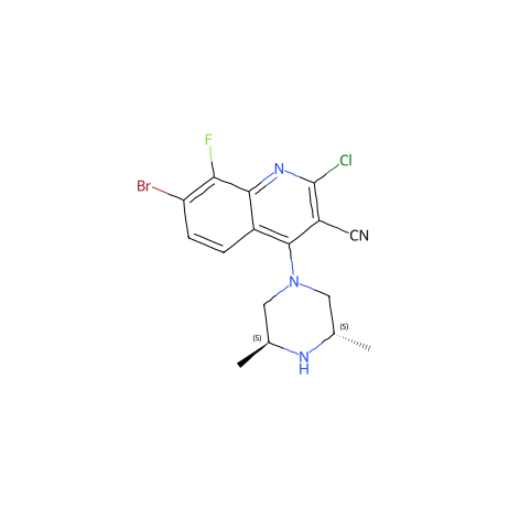 C[C@H]1CN(c2c(C#N)c(Cl)nc3c(F)c(Br)ccc23)C[C@H](C)N1